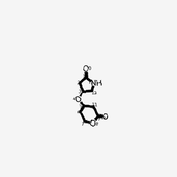 O=C1C[C@H](OC2CCOC(=O)C2)CN1